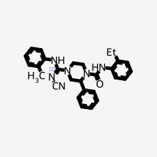 CCc1ccccc1NC(=O)N1CCN(/C(=N\C#N)Nc2ccccc2C)CC1c1ccccc1